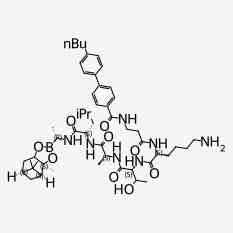 CCCCc1ccc(-c2ccc(C(=O)NCCC(=O)N[C@@H](CCCCN)C(=O)N[C@H](C(=O)N[C@@H](C)C(=O)N[C@@H](CC(C)C)C(=O)N[C@@H](C)B3OC4C[C@@H]5C[C@@H](C5(C)C)[C@]4(C)O3)C(C)O)cc2)cc1